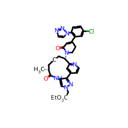 CCOC(=O)Cn1cc2c(n1)-c1ccnc(c1)[C@@H](N1CCC(c3cc(Cl)ccc3-n3ccnn3)=CC1=O)CCC[C@@H](C)C(=O)N2